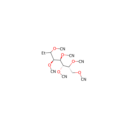 CCC(OC#N)[C@H](OC#N)[C@@H](OC#N)[C@@H](OC#N)[C@@H](COC#N)OC#N